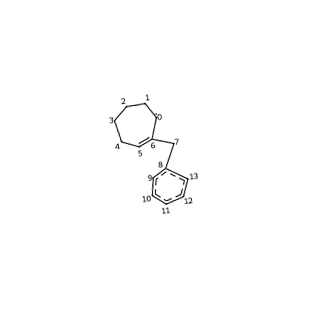 [CH]1CCCCC=C1Cc1ccccc1